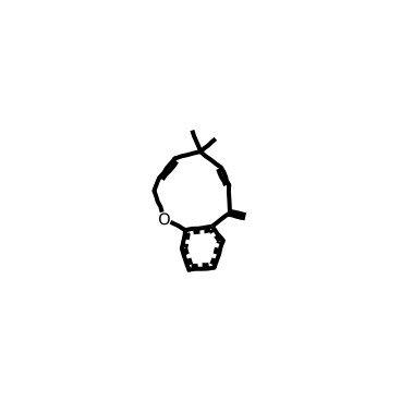 C=C1/C=C\C(C)(C)/C=C\COc2ccccc21